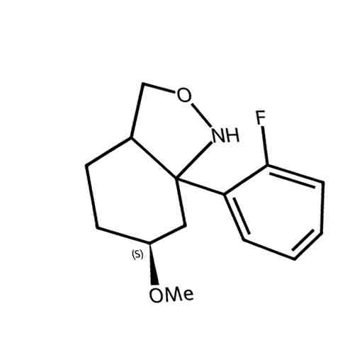 CO[C@H]1CCC2CONC2(c2ccccc2F)C1